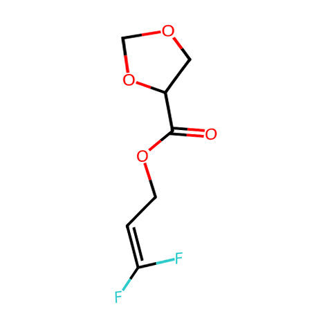 O=C(OCC=C(F)F)C1COCO1